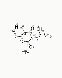 COC(=O)/C(=C/N(C)C)C(=O)c1cccnc1